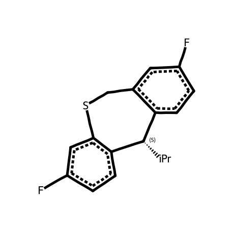 CC(C)[C@H]1c2ccc(F)cc2CSc2cc(F)ccc21